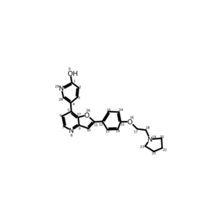 Oc1ccc(-c2ccnc3cc(-c4ccc(OCCN5CCCC5)cc4)oc23)cn1